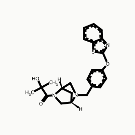 CC(C)(O)C(=O)N1C[C@@H]2C[C@H]1CN2Cc1ccc(Oc2nc3ccccc3s2)cc1